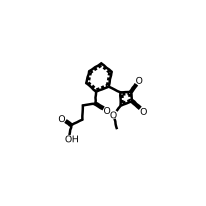 COc1c(-c2ccccc2C(=O)CCC(=O)O)c(=O)c1=O